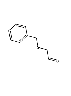 O=CCSCc1ccccc1